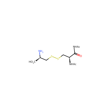 CC(=O)NC(=O)[C@H](CSSC[C@H](N)C(=O)O)NC(C)=O